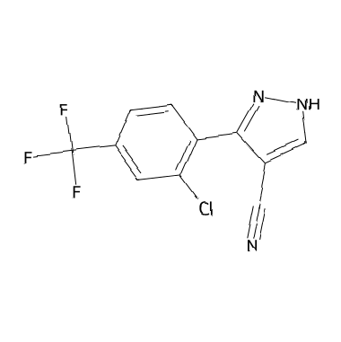 N#Cc1c[nH]nc1-c1ccc(C(F)(F)F)cc1Cl